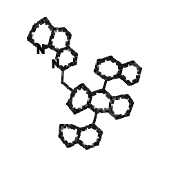 c1ccc2c(-c3c4ccccc4c(-c4cccc5ccccc45)c4cc(Cc5ccc6ccc7cccnc7c6n5)ccc34)cccc2c1